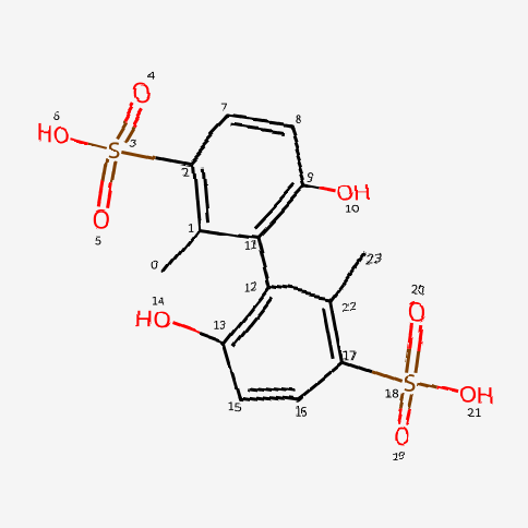 Cc1c(S(=O)(=O)O)ccc(O)c1-c1c(O)ccc(S(=O)(=O)O)c1C